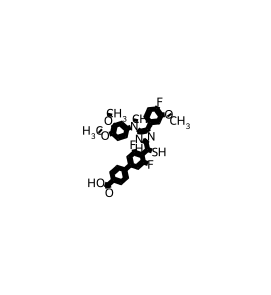 COc1cc(-c2nc(C(S)c3c(F)cc(-c4ccc(C(=O)O)cc4)cc3F)[nH]c2N(C)c2ccc(OC)c(OC)c2)ccc1F